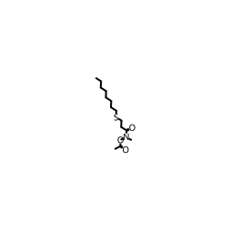 CCCCCCCCSCCC(=O)N(C)OC(C)=O